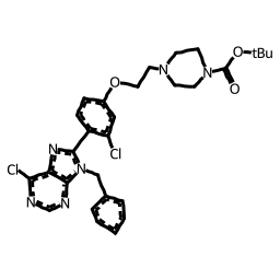 CC(C)(C)OC(=O)N1CCN(CCOc2ccc(-c3nc4c(Cl)ncnc4n3Cc3ccccc3)c(Cl)c2)CC1